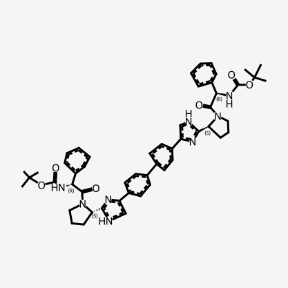 CC(C)(C)OC(=O)N[C@@H](C(=O)N1CCC[C@H]1c1nc(-c2ccc(-c3ccc(-c4c[nH]c([C@@H]5CCCN5C(=O)[C@H](NC(=O)OC(C)(C)C)c5ccccc5)n4)cc3)cc2)c[nH]1)c1ccccc1